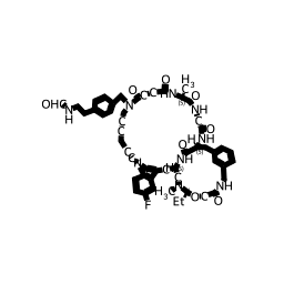 CC[C@@H]1OCC(=O)NCc2cccc(c2)C[C@@H]2NC(=O)CNC(=O)[C@H](C)NC(=O)CCC(=O)N(Cc3ccc(CCNC=O)cc3)CCCCCCn3cc(c4cc(F)ccc43)C[C@@H](CN1C)NC2=O